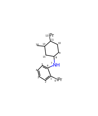 CC(C)c1ccccc1NC1CCC(C(C)C)C(C)C1